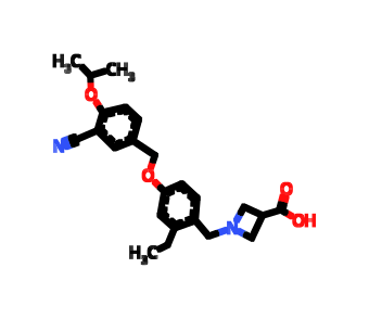 CCc1cc(OCc2ccc(OC(C)C)c(C#N)c2)ccc1CN1CC(C(=O)O)C1